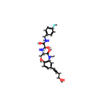 CN1C(=O)[C@@H](NC(=O)C(=O)NCc2ccc(F)cc2)COc2ccc(C#CCCO)cc21